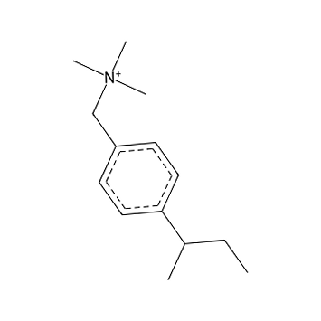 CCC(C)c1ccc(C[N+](C)(C)C)cc1